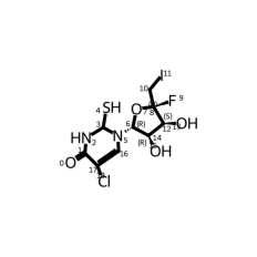 O=C1NC(S)N([C@@H]2O[C@](F)(CI)[C@@H](O)[C@H]2O)C=C1Cl